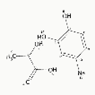 CC(O)C(=O)O.Oc1cc[c]([Na])cc1O